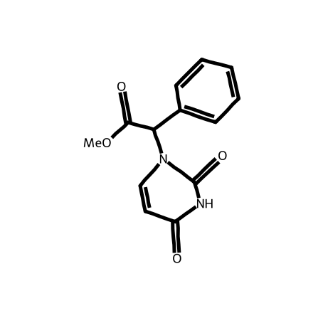 COC(=O)C(c1ccccc1)n1ccc(=O)[nH]c1=O